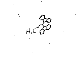 CCCCC(C1c2ccccc2-c2ccccc21)C1c2ccccc2-c2ccccc21